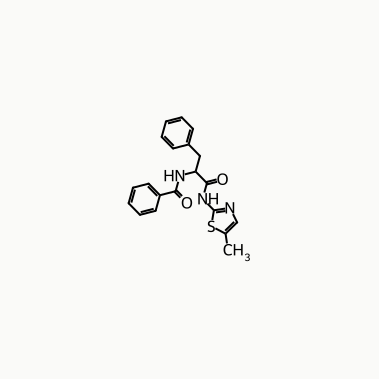 Cc1cnc(NC(=O)C(Cc2ccccc2)NC(=O)c2ccccc2)s1